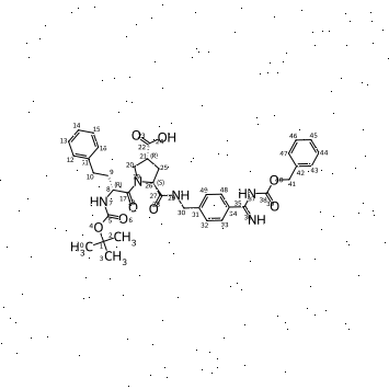 CC(C)(C)OC(=O)N[C@H](CCc1ccccc1)C(=O)N1C[C@H](C(=O)O)C[C@H]1C(=O)NCc1ccc(C(=N)NC(=O)OCc2ccccc2)cc1